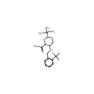 CC(=O)C1O[C@@H](C(C)(C)C)OCC1OCc1ccccc1C(F)(F)F